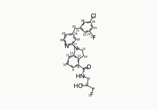 O=C(NCC(O)CF)c1cccc2c1CCN2c1cc(Cc2cc(F)cc(Cl)c2)ccn1